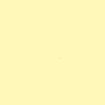 CP(C)(C)(Br)Br